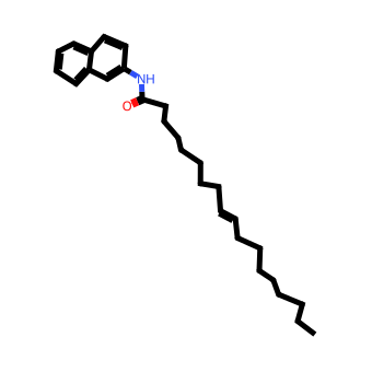 CCCCCCCCC=CCCCCCCCC(=O)Nc1ccc2ccccc2c1